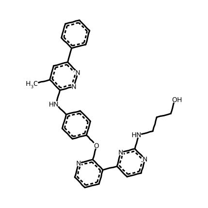 Cc1cc(-c2ccccc2)nnc1Nc1ccc(Oc2ncccc2-c2ccnc(NCCCO)n2)cc1